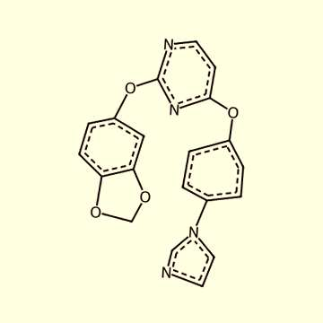 c1cn(-c2ccc(Oc3ccnc(Oc4ccc5c(c4)OCO5)n3)cc2)cn1